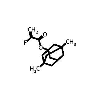 C=C(F)C(=O)OC12CC3CC(C)(CC(C)(C3)C1)C2